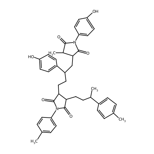 Cc1ccc(C(C)CCC2C(=O)N(c3ccc(C)cc3)C(=O)C2CCC(CC2C(=O)N(c3ccc(O)cc3)C(=O)C2C)c2ccc(O)cc2)cc1